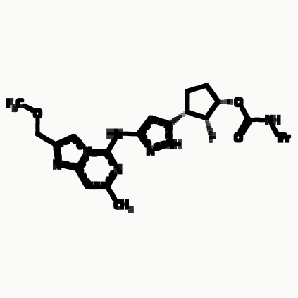 Cc1cc2nc(COC(F)(F)F)cn2c(Nc2cc([C@@H]3CC[C@H](OC(=O)NC(C)C)[C@@H]3F)[nH]n2)n1